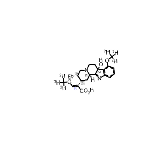 [2H]C([2H])([2H])O/C=C(/C(=O)O)[C@H]1C[C@H]2C3=Nc4cccc(OC([2H])([2H])[2H])c4[C@@]3(O)CCN2C[C@H]1CC